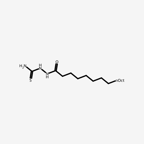 CCCCCCCCCCCCCCCC(=O)NNC(N)=S